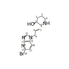 O[C@H]1CCCN[C@@H]1/C=C/Cn1cnc2nc(Br)ccc21